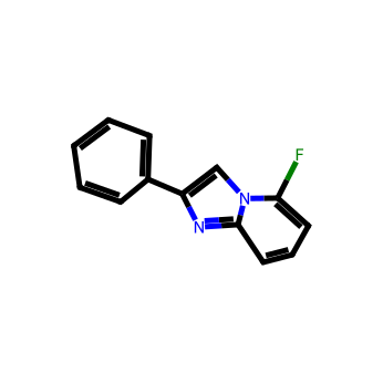 Fc1cccc2nc(-c3ccccc3)cn12